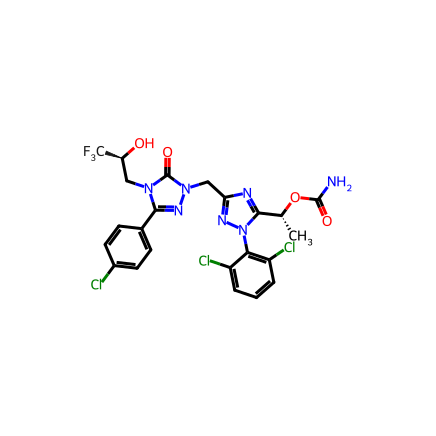 C[C@@H](OC(N)=O)c1nc(Cn2nc(-c3ccc(Cl)cc3)n(C[C@H](O)C(F)(F)F)c2=O)nn1-c1c(Cl)cccc1Cl